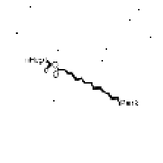 CCCCCCCC(=O)OC(=O)CCCCCCCCCCCCCC(C)CCC